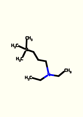 CCN(CC)CCC[Si](C)(C)C